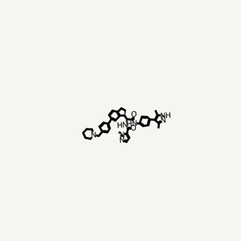 Cc1n[nH]c(C)c1-c1ccc(NC(=O)[C@@H](NC(=O)c2ccnn2C)[C@@H]2CCc3ccc(-c4ccc(CN5CCCCC5)cc4)cc32)cc1